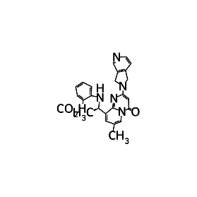 Cc1cc([C@@H](C)Nc2ccccc2C(=O)O)c2nc(N3Cc4ccncc4C3)cc(=O)n2c1